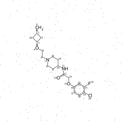 C[C@H]1C[C@@H](OCCN2CCC(NC(=O)COc3ccc(Cl)c(F)c3)CC2)C1